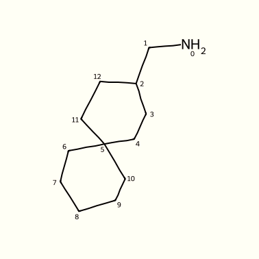 NCC1CCC2(CCCCC2)CC1